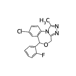 Cc1nnc2n1-c1ccc(Cl)cc1C(c1ccccc1F)OC2